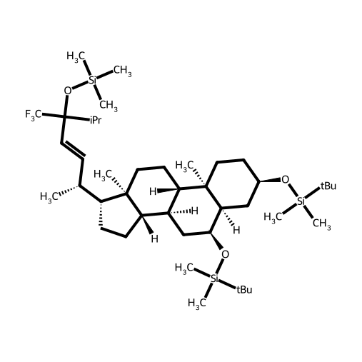 CC(C)C(/C=C/[C@@H](C)[C@H]1CC[C@H]2[C@@H]3C[C@H](O[Si](C)(C)C(C)(C)C)[C@@H]4C[C@H](O[Si](C)(C)C(C)(C)C)CC[C@]4(C)[C@H]3CC[C@]12C)(O[Si](C)(C)C)C(F)(F)F